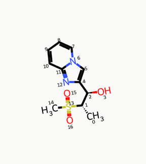 C[C@@H]([C@H](O)c1cn2ccccc2n1)S(C)(=O)=O